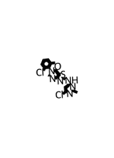 Cc1nc(Cl)cc(Nc2nc3ncn(-c4c(C)cccc4Cl)c(=O)c3s2)n1